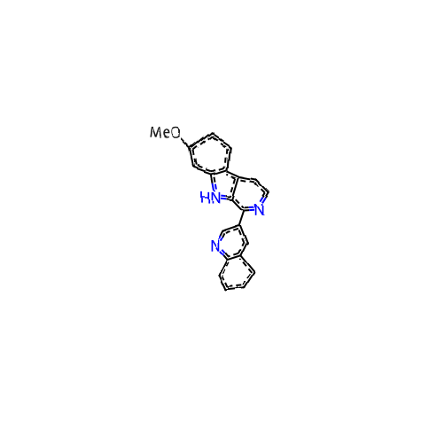 COc1ccc2c(c1)[nH]c1c(-c3cnc4ccccc4c3)nccc12